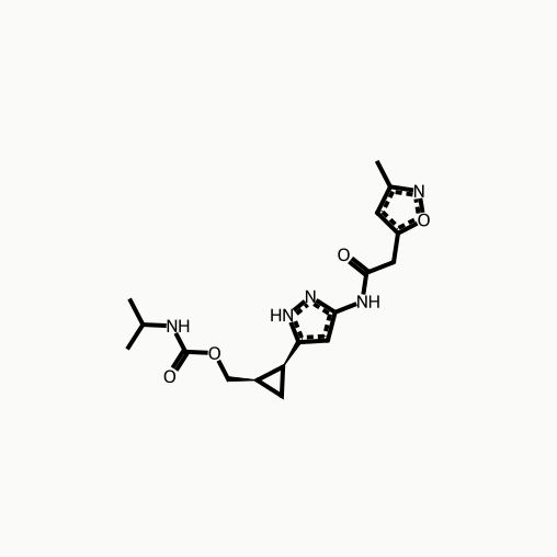 Cc1cc(CC(=O)Nc2cc([C@H]3C[C@H]3COC(=O)NC(C)C)[nH]n2)on1